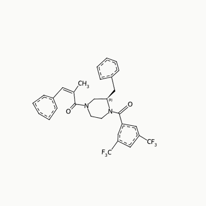 CC(=Cc1ccccc1)C(=O)N1CCN(C(=O)c2cc(C(F)(F)F)cc(C(F)(F)F)c2)[C@H](Cc2ccccc2)C1